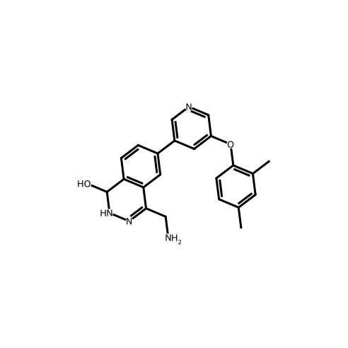 Cc1ccc(Oc2cncc(-c3ccc4c(c3)C(CN)=NNC4O)c2)c(C)c1